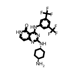 N[C@H]1CC[C@H](Nc2nc(Nc3cc(C(F)(F)F)cc(C(F)(F)F)c3)c3c(=O)[nH]ccc3n2)CC1